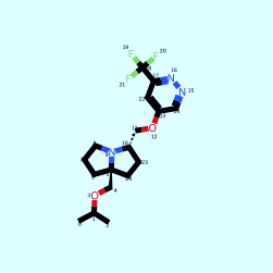 CC(C)OC[C@@]12CCCN1[C@H](COc1cnnc(C(F)(F)F)c1)CC2